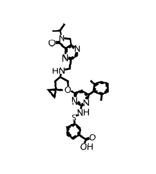 Cc1cccc(C)c1-c1cc(OCC(CC2(C)CC2)NCc2cnc3c(n2)C(=O)N(C(C)C)C3)nc(NSc2cccc(C(=O)O)c2)n1